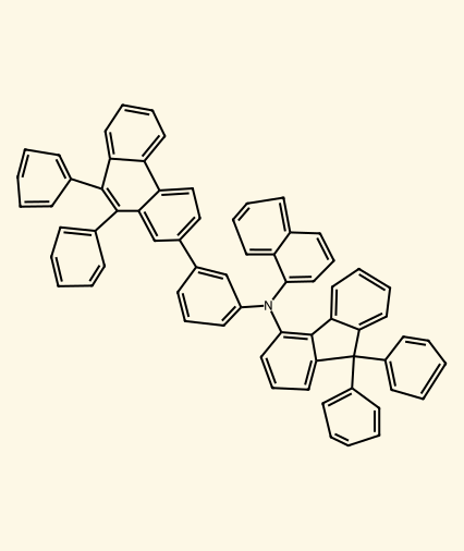 c1ccc(-c2c(-c3ccccc3)c3cc(-c4cccc(N(c5cccc6c5-c5ccccc5C6(c5ccccc5)c5ccccc5)c5cccc6ccccc56)c4)ccc3c3ccccc23)cc1